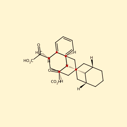 C[C@@H]1C[C@@H]2C[C@H](C1)C[C@@H](C1[C@@H]3CCC[C@H]1C[C@@H](N(C(=O)C(=O)O)c1ccccc1NC(=O)C(=O)O)C3)C2